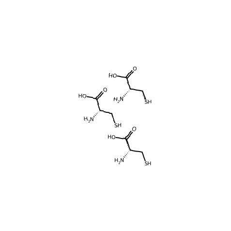 N[C@@H](CS)C(=O)O.N[C@@H](CS)C(=O)O.N[C@@H](CS)C(=O)O